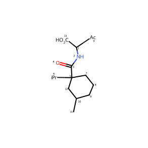 CC(=O)C(NC(=O)C1(C(C)C)CCCC(C)C1)C(=O)O